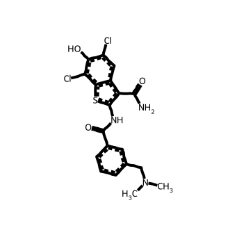 CN(C)Cc1cccc(C(=O)Nc2sc3c(Cl)c(O)c(Cl)cc3c2C(N)=O)c1